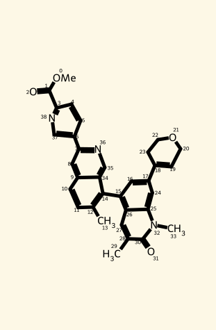 COC(=O)c1ccc(-c2cc3ccc(C)c(-c4cc(C5=CCOCC5)cc5c4cc(C)c(=O)n5C)c3cn2)cn1